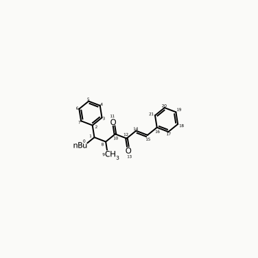 CCCCC(c1ccccc1)C(C)C(=O)C(=O)/C=C/c1ccccc1